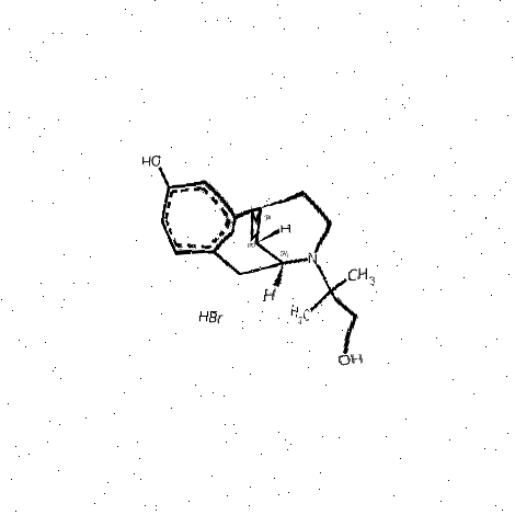 Br.CC(C)(CO)N1CC[C@]23CCCC[C@H]2[C@H]1Cc1ccc(O)cc13